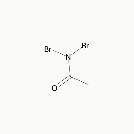 CC(=O)N(Br)Br